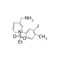 CCS(=O)(=O)[N+]1(c2ccc(C)c(I)c2)C=C(CN)C=CC1